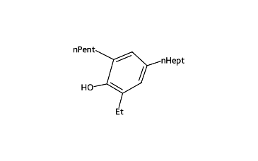 CCCCCCCc1cc(CC)c(O)c(CCCCC)c1